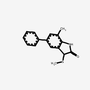 CSC1C(=O)Nc2c(C)cc(-c3ccccc3)cc21